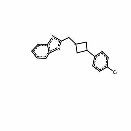 Clc1ccc(C2C[C](Cc3nc4ccccc4s3)C2)cc1